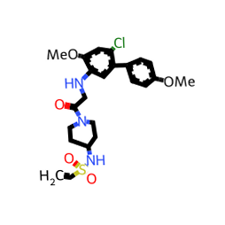 C=CS(=O)(=O)NC1CCN(C(=O)CNc2cc(-c3ccc(OC)cc3)c(Cl)cc2OC)CC1